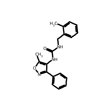 Cc1ccccc1CNC(=O)Nc1c(-c2ccccc2)noc1C